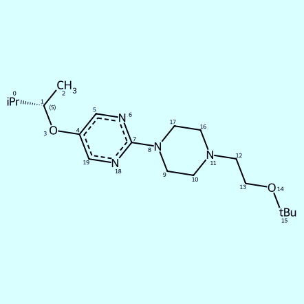 CC(C)[C@H](C)Oc1cnc(N2CCN(CCOC(C)(C)C)CC2)nc1